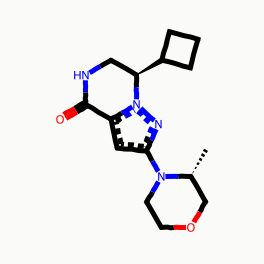 C[C@@H]1COCCN1c1cc2n(n1)[C@H](C1CCC1)CNC2=O